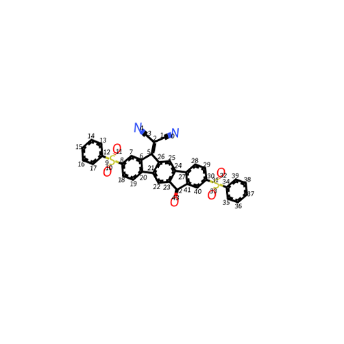 N#CC(C#N)=C1c2cc(S(=O)(=O)c3ccccc3)ccc2-c2cc3c(cc21)-c1ccc(S(=O)(=O)c2ccccc2)cc1C3=O